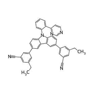 CCc1cc(C#N)cc(-c2ccc3c(c2)c2cc(-c4cc(C#N)cc(CC)c4)ccc2n3-c2ccccc2-c2ccncn2)c1